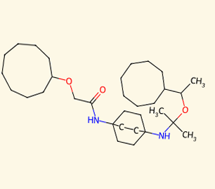 CC(OC(C)(C)NC12CCC(NC(=O)COC3CCCCCCCC3)(CC1)CC2)C1CCCCCCC1